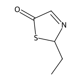 CCC1N=CC(=O)S1